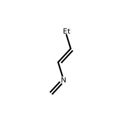 C=N/C=C/CC